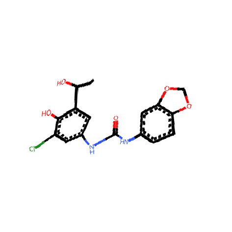 CC(O)c1cc(NC(=O)Nc2ccc3c(c2)OCO3)cc(Cl)c1O